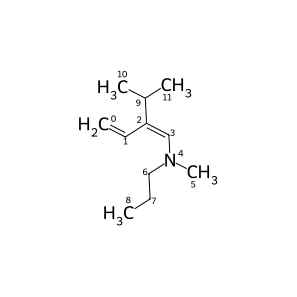 C=C/C(=C\N(C)CCC)C(C)C